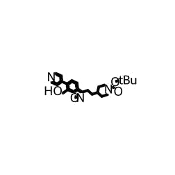 CC(C)(C)OC(=O)N1CCC(CCc2noc3c(CO)c(-c4ccncc4)ccc23)CC1